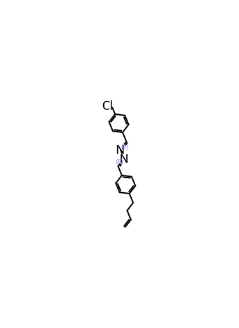 C=CCCc1ccc(/C=N/N=C/c2ccc(Cl)cc2)cc1